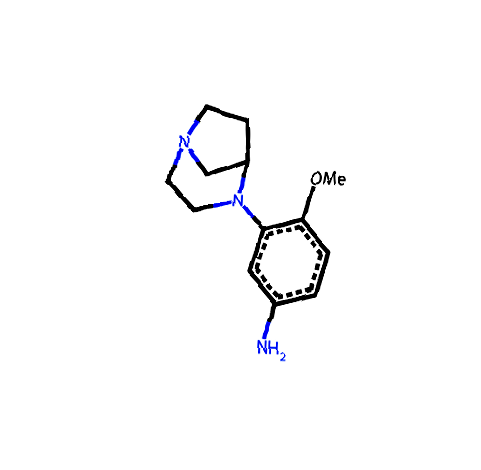 COc1ccc(N)cc1N1CCN2CCC1C2